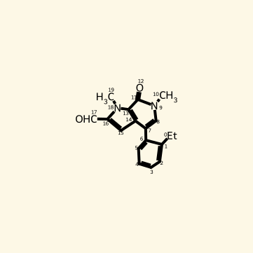 CCc1ccccc1-c1cn(C)c(=O)c2c1cc(C=O)n2C